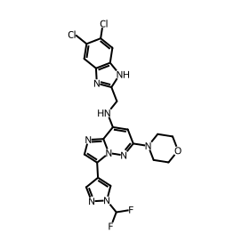 FC(F)n1cc(-c2cnc3c(NCc4nc5cc(Cl)c(Cl)cc5[nH]4)cc(N4CCOCC4)nn23)cn1